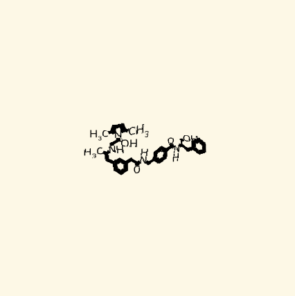 Cc1ccc(C)n1[C@H](O)CNC(C)Cc1cccc(CC(=O)NCc2ccc(C(=O)N[C@@H](CO)Cc3ccccc3)cc2)c1